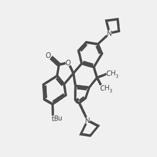 CC(C)(C)c1ccc2c(c1)C1(OC2=O)c2ccc(N3CCC3)cc2C(C)(C)c2cc(N3CCC3)ccc21